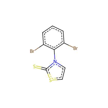 S=c1sccn1-c1c(Br)cccc1Br